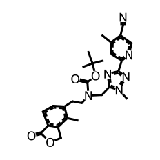 Cc1cc(-c2nc(CN(CCc3ccc4c(c3C)COC4=O)C(=O)OC(C)(C)C)n(C)n2)ncc1C#N